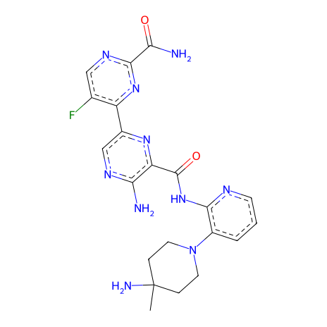 CC1(N)CCN(c2cccnc2NC(=O)c2nc(-c3nc(C(N)=O)ncc3F)cnc2N)CC1